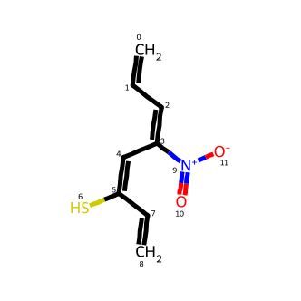 C=C/C=C(\C=C(\S)C=C)[N+](=O)[O-]